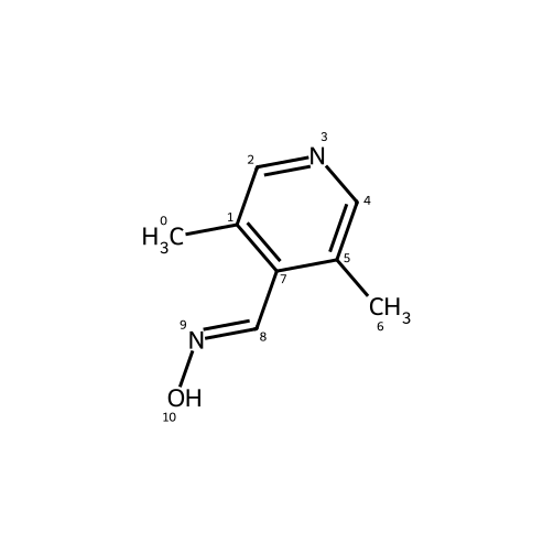 Cc1cncc(C)c1/C=N/O